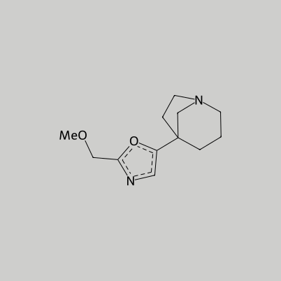 COCc1ncc(C23CCCN(CC2)C3)o1